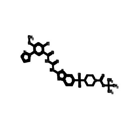 COc1cc(Cl)c(C(=O)NC(=O)Nc2nc3ccc(S(=O)(=O)C4CCN(C(=O)OC(C)(C)C)CC4)cc3s2)cc1-n1cccn1